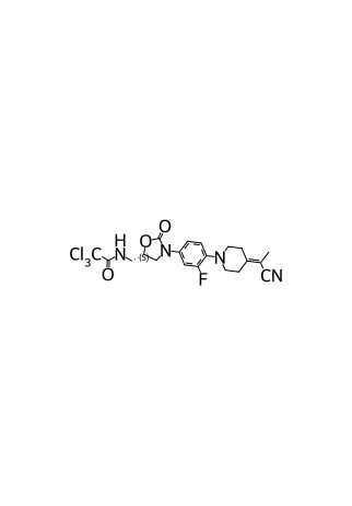 CC(C#N)=C1CCN(c2ccc(N3C[C@H](CNC(=O)C(Cl)(Cl)Cl)OC3=O)cc2F)CC1